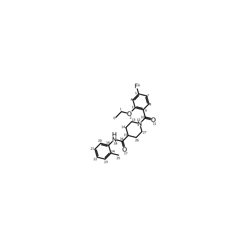 CCOc1cc(F)ccc1C(=O)N1CCC(C(=O)Nc2ccccc2C)CC1